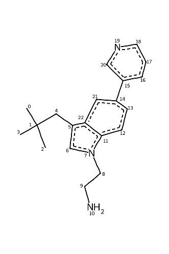 CC(C)(C)Cc1cn(CCN)c2ccc(-c3cccnc3)cc12